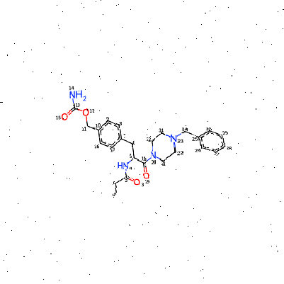 CCC(=O)NC(Cc1ccc(COC(N)=O)cc1)C(=O)N1CCN(Cc2ccccc2)CC1